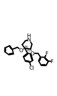 Fc1cccc(CO[C@H]2CNCC[C@@]2(OCc2ccccc2)c2ccc(Cl)cc2)c1F